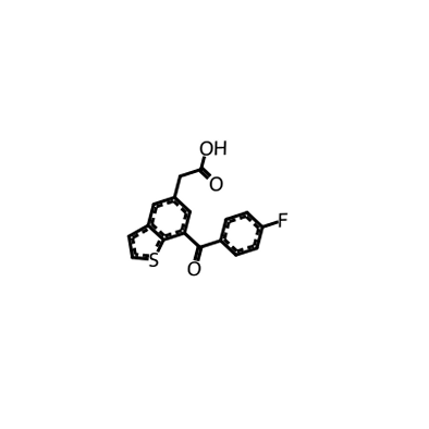 O=C(O)Cc1cc(C(=O)c2ccc(F)cc2)c2sccc2c1